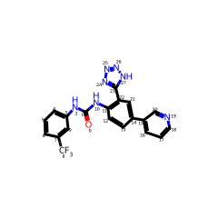 O=C(Nc1cccc(C(F)(F)F)c1)Nc1ccc(-c2cccnc2)cc1-c1nnn[nH]1